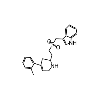 Cc1ccccc1C1=CCNC(CCS(=O)(=O)Cc2c[nH]c3ccccc23)C1